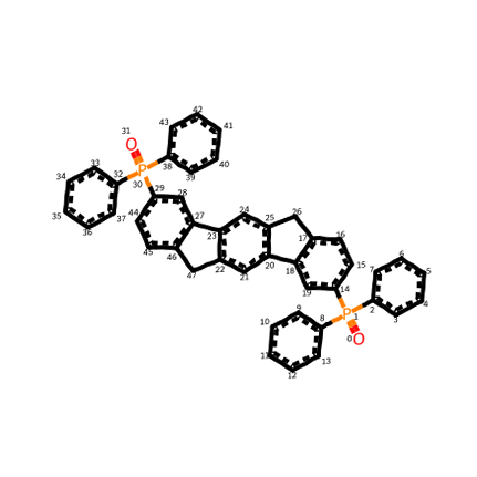 O=P(c1ccccc1)(c1ccccc1)c1ccc2c(c1)-c1cc3c(cc1C2)-c1cc(P(=O)(c2ccccc2)c2ccccc2)ccc1C3